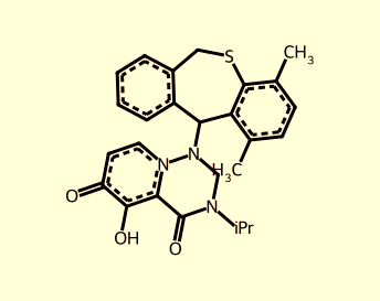 Cc1ccc(C)c2c1SCc1ccccc1C2N1CN(C(C)C)C(=O)c2c(O)c(=O)ccn21